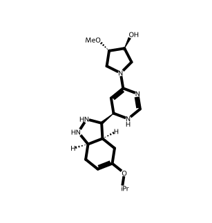 CO[C@H]1CN(C2=C[C@H](C3NN[C@@H]4CC=C(OC(C)C)C[C@H]34)NC=N2)C[C@@H]1O